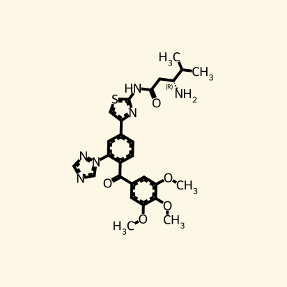 COc1cc(C(=O)c2ccc(-c3csc(NC(=O)C[C@@H](N)C(C)C)n3)cc2-n2cncn2)cc(OC)c1OC